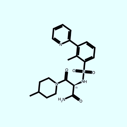 Cc1c(-c2ccccn2)cccc1S(=O)(=O)N[C@@H](C(N)=O)C(=O)N1CCC(C)CC1